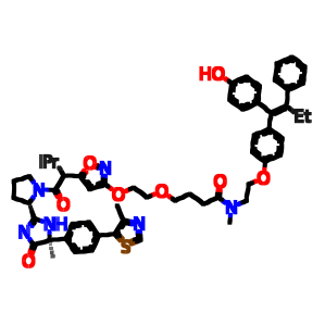 CC/C(=C(/c1ccc(O)cc1)c1ccc(OCCN(C)C(=O)CCCOCCOc2cc(C(C(=O)N3CCC[C@@H]3C3=NC(=O)[C@](C)(c4ccc(-c5scnc5C)cc4)N3)C(C)C)on2)cc1)c1ccccc1